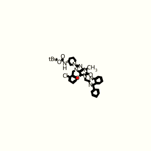 Cn1c(=O)n(Cc2nc(-c3ccccc3)c3ccccc3n2)c(=O)c2c1nc(N1CCC[C@@H](NC(=O)OC(C)(C)C)C1)n2Cc1ccccc1Cl